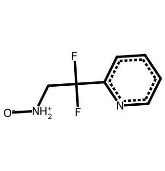 [O-][NH2+]CC(F)(F)c1ccccn1